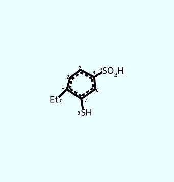 CCc1ccc(S(=O)(=O)O)cc1S